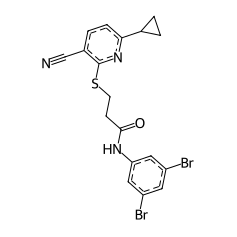 N#Cc1ccc(C2CC2)nc1SCCC(=O)Nc1cc(Br)cc(Br)c1